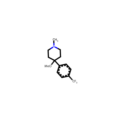 COC1(c2ccc(C(F)(F)F)cc2)CCN(C)CC1